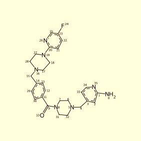 Nc1cc(CN2CCN(C(=O)c3ccc(CN4CCN(c5ccc(F)cn5)CC4)cc3)CC2)ccn1